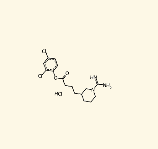 Cl.N=C(N)N1CCCC(CCCC(=O)Oc2ccc(Cl)cc2Cl)C1